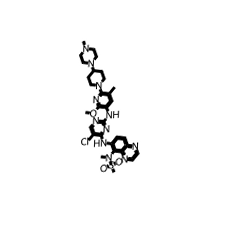 COc1nc(N2CCC(N3CCN(C)CC3)CC2)c(C)cc1Nc1ncc(Cl)c(Nc2ccc3nccnc3c2N(C)S(C)(=O)=O)n1